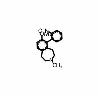 COc1ccc2c(c1-c1ccccc1[N+](=O)[O-])CCN(C)CC2